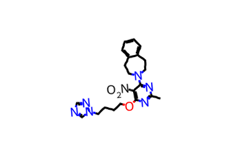 Cc1nc(OCCCCn2cncn2)c([N+](=O)[O-])c(N2CCc3ccccc3CC2)n1